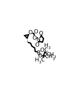 CC1(C)OB(CCCCC[C@@H]2C[C@H]2OC(=O)ON2C(=O)CCC2=O)OC1(C)C